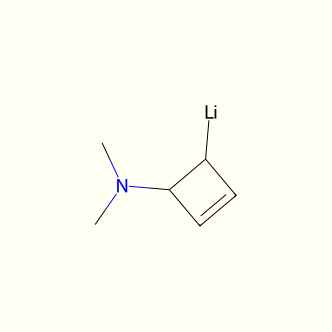 [Li][CH]1C=CC1N(C)C